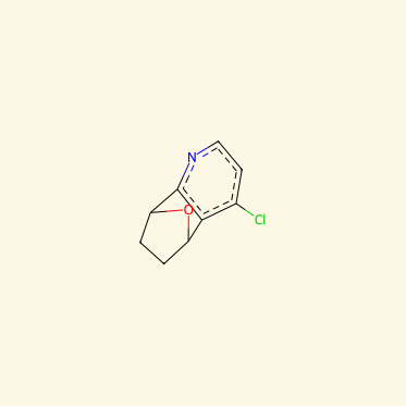 Clc1ccnc2c1C1CCC2O1